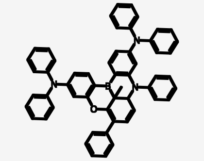 CC12B3c4ccc(N(c5ccccc5)c5ccccc5)cc4OC1=C(c1ccccc1)C=CC2N(c1ccccc1)c1cc(N(c2ccccc2)c2ccccc2)ccc13